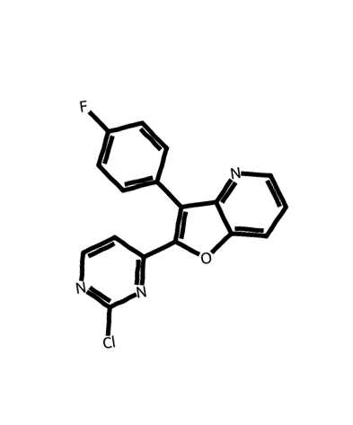 Fc1ccc(-c2c(-c3ccnc(Cl)n3)oc3cccnc23)cc1